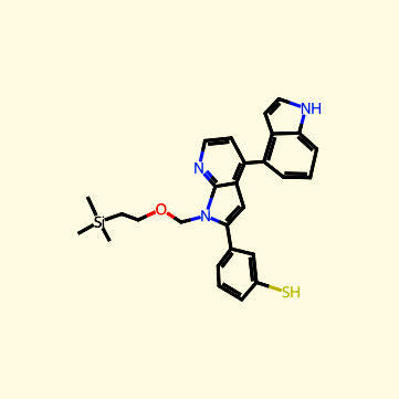 C[Si](C)(C)CCOCn1c(-c2cccc(S)c2)cc2c(-c3cccc4[nH]ccc34)ccnc21